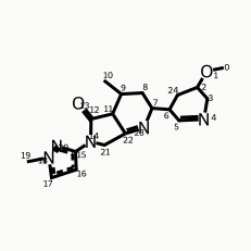 COC1CN=CC(C2CC(C)C3C(=O)N(c4ccn(C)n4)CC3=N2)C1